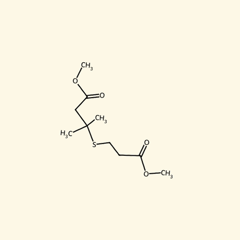 COC(=O)CCSC(C)(C)CC(=O)OC